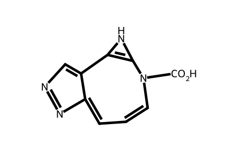 O=C(O)n1cccc2nncc-2c2[nH]c1=2